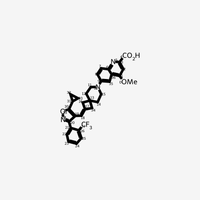 COc1cc(C(=O)O)nc2ccc(N3CCC4(CC3)CC(=Cc3c(-c5ccccc5C(F)(F)F)noc3C3CC3)C4)cc12